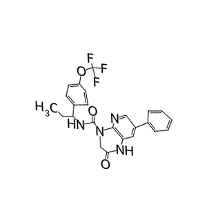 CCC(NC(=O)N1CC(=O)Nc2cc(-c3ccccc3)cnc21)c1ccc(OC(F)(F)F)cc1